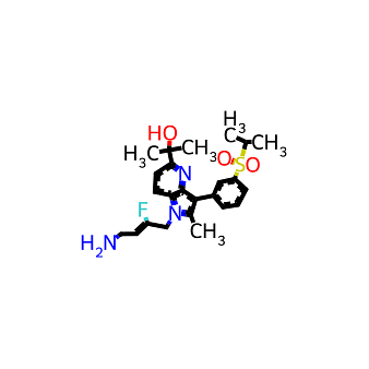 Cc1c(-c2cccc(S(=O)(=O)C(C)C)c2)c2nc(C(C)(C)O)ccc2n1CC(F)=CCN